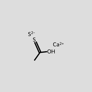 CC(O)=S.[Ca+2].[S-2]